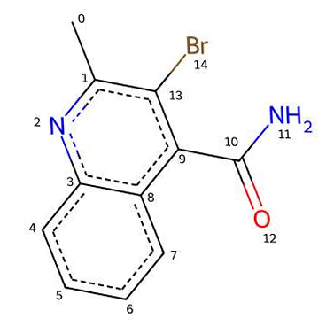 Cc1nc2ccccc2c(C(N)=O)c1Br